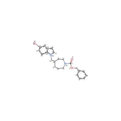 O=C(OCc1ccccc1)N1CCCC(Cn2ccc3cc(Br)ccc32)CC1